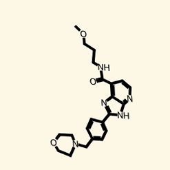 COCCCNC(=O)c1ccnc2[nH]c(-c3ccc(CN4CCOCC4)cc3)nc12